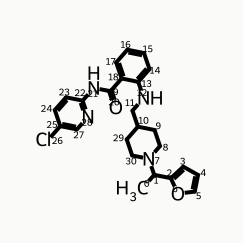 CC(c1ccco1)N1CCC(CNc2ccccc2C(=O)Nc2ccc(Cl)cn2)CC1